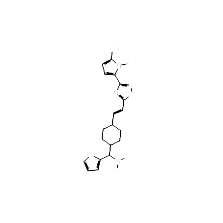 Cc1ccc(-c2noc(C=CC3CCC(C(c4cccs4)N(C)C)CC3)n2)n1C